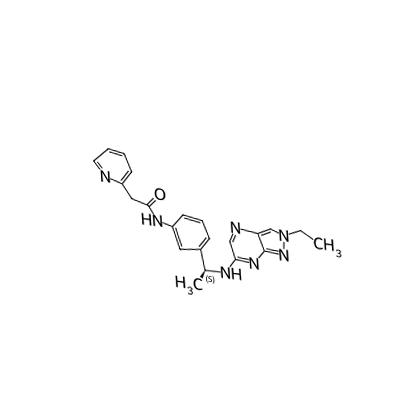 CCn1cc2ncc(N[C@@H](C)c3cccc(NC(=O)Cc4ccccn4)c3)nc2n1